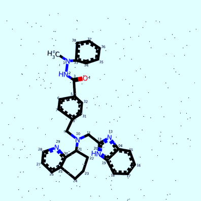 CN(NC(=O)c1ccc(CN(Cc2nc3ccccc3[nH]2)C2CCCc3cccnc32)cc1)c1ccccc1